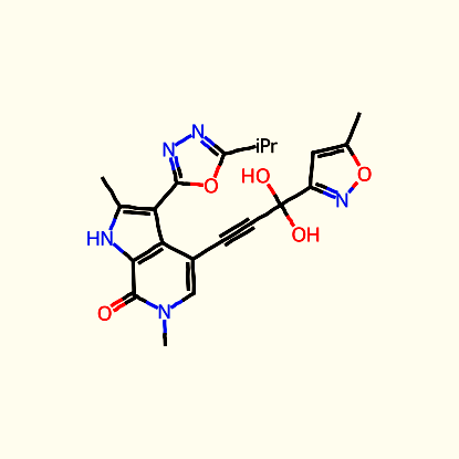 Cc1cc(C(O)(O)C#Cc2cn(C)c(=O)c3[nH]c(C)c(-c4nnc(C(C)C)o4)c23)no1